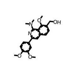 COc1ccc(-c2cc3ccc(CO)c(OC)c3c(N(C)C)n2)cc1OC